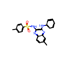 Cc1ccc(S(=O)(=O)Nc2nc3ccc(C)cc3nc2Nc2ccccc2)cc1